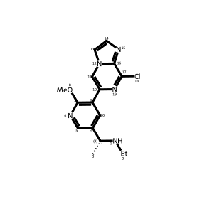 CCN[C@H](C)c1cnc(OC)c(-c2cn3ccnc3c(Cl)n2)c1